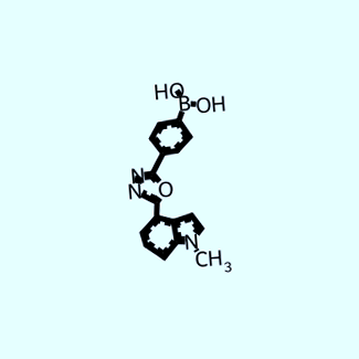 Cn1ccc2c(-c3nnc(-c4ccc(B(O)O)cc4)o3)cccc21